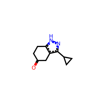 O=C1CCc2[nH]nc(C3CC3)c2C1